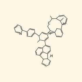 CC1CCC(C2=CC(c3ccc(-c4ccccn4)cc3)C(C)C(c3ccc4c5c(cccc35)C3C=CC=C[C@H]43)=C2)[C@H]2C=CC=C(C2)[C@H]2C=CC=CC1C2C